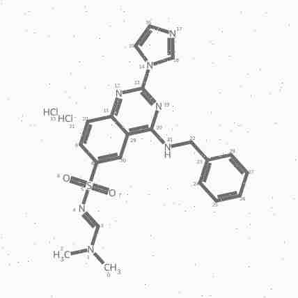 CN(C)C=NS(=O)(=O)c1ccc2nc(-n3ccnc3)nc(NCc3ccccc3)c2c1.Cl.Cl